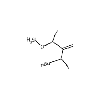 C=C(C(C)CCCC)C(C)O[SiH3]